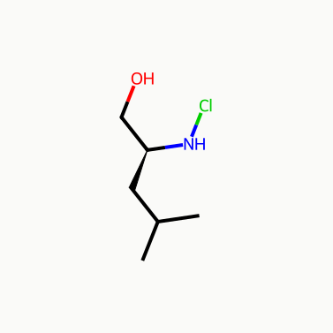 CC(C)C[C@@H](CO)NCl